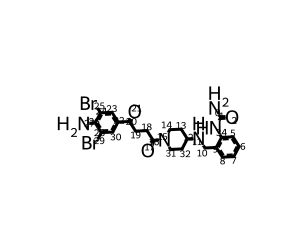 NC(=O)Nc1ccccc1CNC1CCN(C(=O)CCC(=O)c2cc(Br)c(N)c(Br)c2)CC1